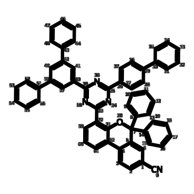 N#Cc1ccc2c(c1)C(c1ccccc1)(c1ccccc1)Oc1c(-c3nc(-c4ccc(-c5ccccc5)cc4)nc(-c4cc(-c5ccccc5)cc(-c5ccccc5)c4)n3)cccc1-2